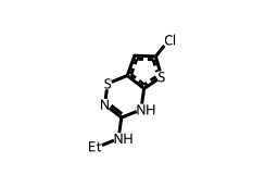 CCNC1=NSc2cc(Cl)sc2N1